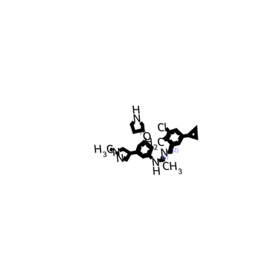 C=c1c(Cl)cc(C2CC2)c/c1=C/N=C(\C)Nc1cc(O[C@@H]2CCNC2)cc(C2C=NN(C)C2)c1